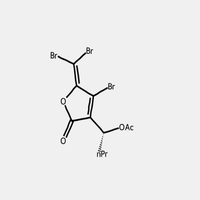 CCC[C@@H](OC(C)=O)C1=C(Br)C(=C(Br)Br)OC1=O